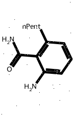 CCCCCc1cccc(N)c1C(N)=O